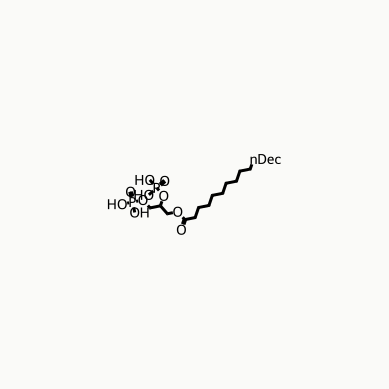 CCCCCCCCCCCCCCCCCCCC(=O)OCC(COP(=O)(O)O)OP(=O)(O)O